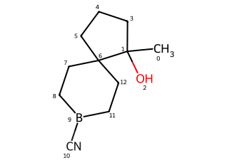 CC1(O)CCCC12CCB(C#N)CC2